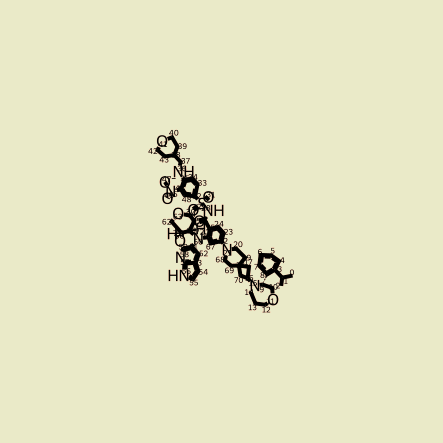 CC(C)c1ccccc1[C@@H]1COCCCN1C1CC2(CCN(c3ccc(C(=O)NS(=O)(=O)c4ccc(NCC5CCOCC5)c([N+](=O)[O-])c4)c(N4c5cc6cc[nH]c6nc5O[C@H]5COCC[C@@H]54)c3)CC2)C1